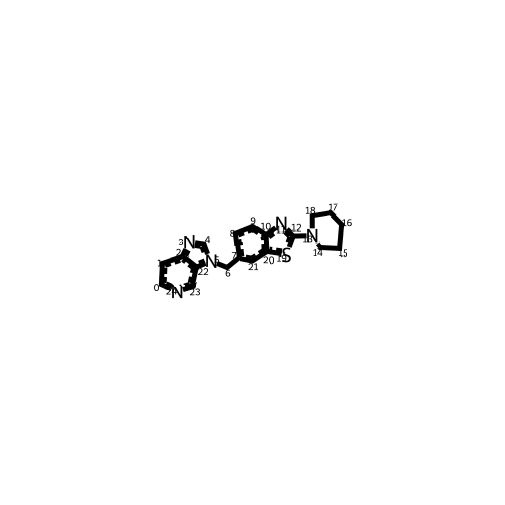 c1cc2ncn(Cc3ccc4nc(N5CCCCC5)sc4c3)c2cn1